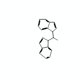 CC(C1C=Cc2ccccc21)C1C=Cc2ccccc21.[Cl-].[Cl-].[Hf+2]